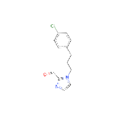 O=Cc1nccn1CCCc1ccc(Cl)cc1